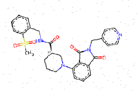 CS(=O)(=O)c1ccccc1CNC(=O)[C@@H]1CCCN(c2cccc3c2C(=O)N(Cc2ccncc2)C3=O)C1